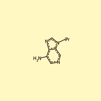 CC(C)n1cnc2c(N)cncc21